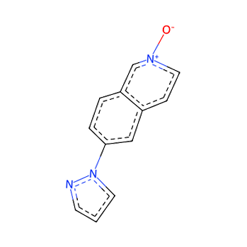 [O-][n+]1ccc2cc(-n3cccn3)ccc2c1